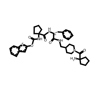 NC1(C(=O)N2CCC(CNC(=O)[C@@H](Cc3ccccc3)NC(=O)C3(NC(=O)Oc4cc5ccccc5s4)CCCC3)CC2)CCCC1